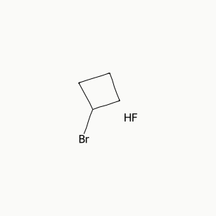 BrC1CCC1.F